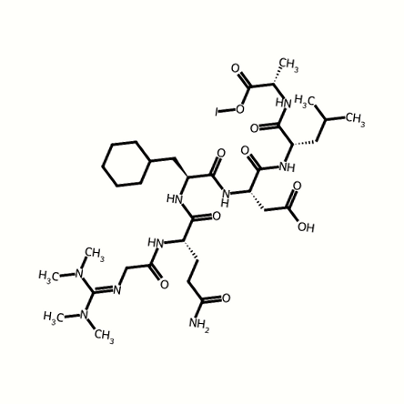 CC(C)C[C@H](NC(=O)[C@H](CC(=O)O)NC(=O)[C@H](CC1CCCCC1)NC(=O)[C@H](CCC(N)=O)NC(=O)CN=C(N(C)C)N(C)C)C(=O)N[C@@H](C)C(=O)OI